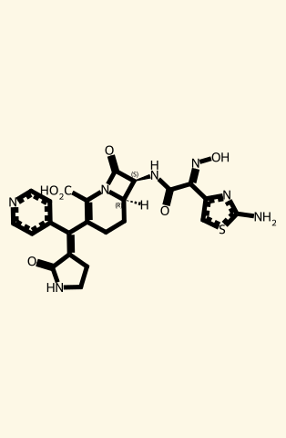 Nc1nc(C(=NO)C(=O)N[C@@H]2C(=O)N3C(C(=O)O)=C(C(=C4CCNC4=O)c4ccncc4)CC[C@H]23)cs1